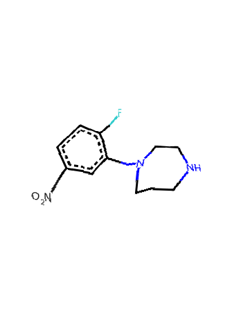 O=[N+]([O-])c1ccc(F)c(N2CCNCC2)c1